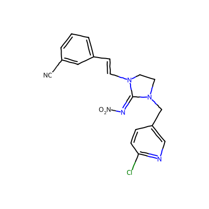 N#Cc1cccc(C=CN2CCN(Cc3ccc(Cl)nc3)C2=N[N+](=O)[O-])c1